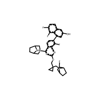 Oc1cc(-c2ccc3c(N4CC5CCC(C4)N5)nc(OCC4(CN5C6CCC5C(F)C6)CC4)nc3c2F)c2c(F)c(F)ccc2c1